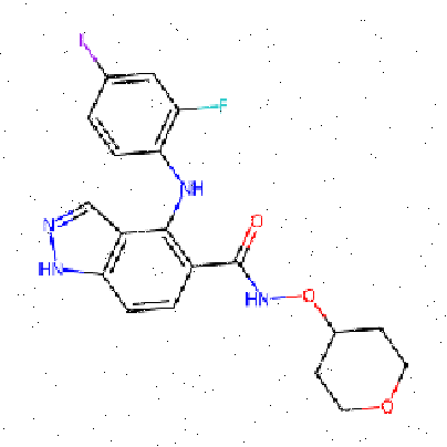 O=C(NOC1CCOCC1)c1ccc2[nH]ncc2c1Nc1ccc(I)cc1F